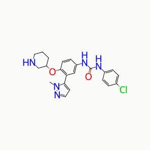 Cn1nccc1-c1cc(NC(=O)Nc2ccc(Cl)cc2)ccc1OC1CCCNC1